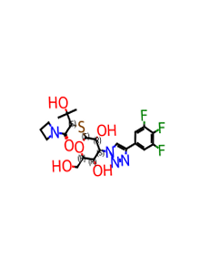 CC(C)(O)[C@H](S[C@@H]1O[C@H](CO)[C@H](O)[C@H](n2cc(-c3cc(F)c(F)c(F)c3)nn2)[C@H]1O)C(=O)N1CCC1